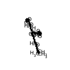 CC(C)(C)SSCCCC(=O)NCCCCCCNC(=O)[C@H](CCCCNC(=O)CCN1C(=O)C=CC1=O)NC(=O)CCN1C(=O)C=CC1=O